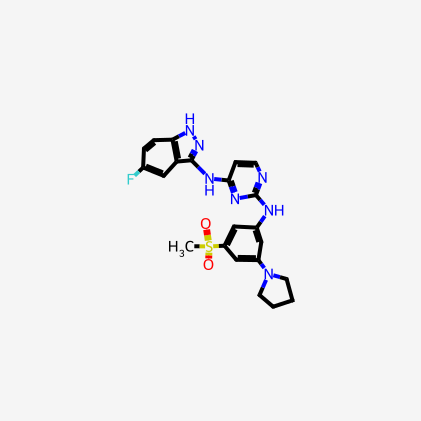 CS(=O)(=O)c1cc(Nc2nccc(Nc3n[nH]c4ccc(F)cc34)n2)cc(N2CCCC2)c1